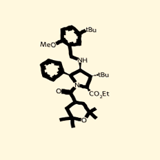 CCOC(=O)[C@@H]1[C@@H](C(C)(C)C)[C@H](NCc2cc(C(C)(C)C)ccc2OC)[C@H](c2ccccc2)N1C(=O)C1CC(C)(C)OC(C)(C)C1